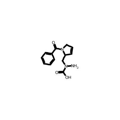 NN(CC1C=CCN1C(=O)c1ccccc1)C(=O)O